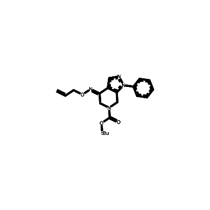 C=CCO/N=C1\CN(C(=O)OC(C)(C)C)Cc2c1cnn2-c1ccccc1